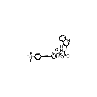 O=C(O)[C@@H](Cc1cnc2ccccc2c1)NS(=O)(=O)c1ccc(C#Cc2ccc(C(F)(F)F)cc2)s1